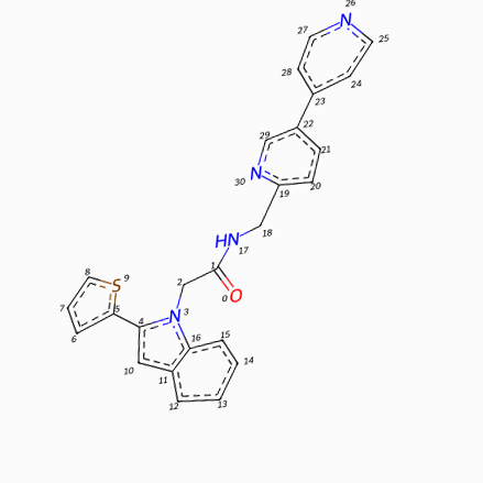 O=C(Cn1c(-c2cccs2)cc2ccccc21)NCc1ccc(-c2ccncc2)cn1